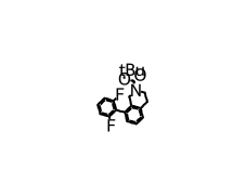 CC(C)(C)OC(=O)N1CCc2cccc(-c3c(F)cccc3F)c2C1